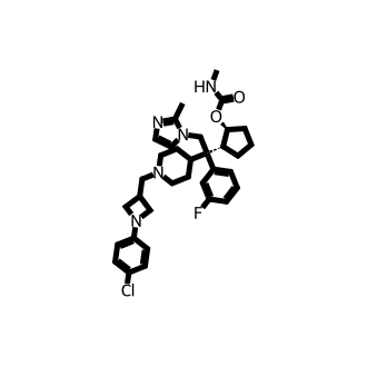 CNC(=O)O[C@H]1CCC[C@@H]1C(Cn1ccnc1C)(c1cccc(F)c1)C1CCN(CC2CN(c3ccc(Cl)cc3)C2)CC1